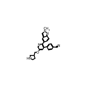 Cn1cc2cc(-c3ncc(OCC4CCNC4)cc3-c3ccc(C#N)cc3)ccc2n1